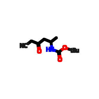 CC(CC(=O)CC#N)NC(=O)OC(C)(C)C